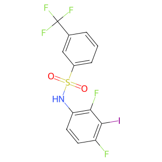 O=S(=O)(Nc1ccc(F)c(I)c1F)c1cccc(C(F)(F)F)c1